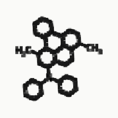 Cc1ccc2c3ccccc3c3c(C)cc(N(c4ccccc4)c4ccccc4)c4ccc1c2c43